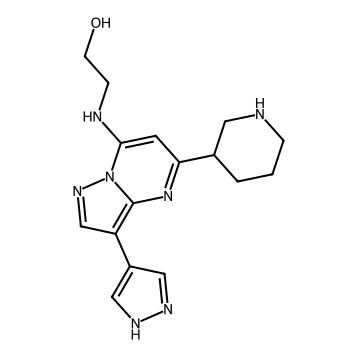 OCCNc1cc(C2CCCNC2)nc2c(-c3cn[nH]c3)cnn12